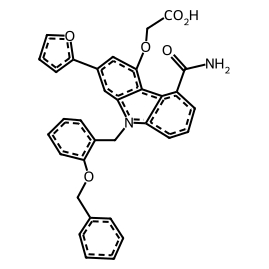 NC(=O)c1cccc2c1c1c(OCC(=O)O)cc(-c3ccco3)cc1n2Cc1ccccc1OCc1ccccc1